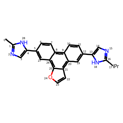 Cc1ncc(-c2ccc3c4ccc(-c5cnc(C(C)C)[nH]5)cc4c4ccoc4c3c2)[nH]1